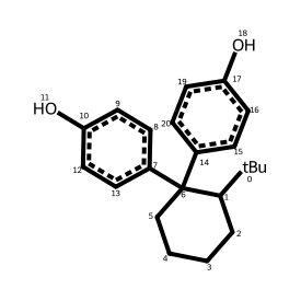 CC(C)(C)C1CCCCC1(c1ccc(O)cc1)c1ccc(O)cc1